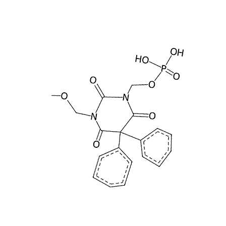 COCN1C(=O)N(COP(=O)(O)O)C(=O)C(c2ccccc2)(c2ccccc2)C1=O